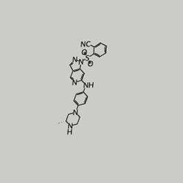 C[C@@H]1CN(c2ccc(Nc3cc4c(cn3)cnn4S(=O)(=O)c3ccccc3C#N)cc2)CCN1